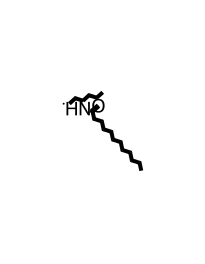 [CH2]CC(CCC)NC(=O)CCCCCCCCCCC